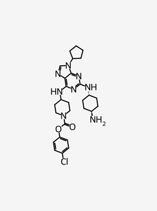 N[C@H]1CC[C@H](Nc2nc(NC3CCN(C(=O)Oc4ccc(Cl)cc4)CC3)c3ncn(C4CCCC4)c3n2)CC1